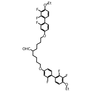 CCOc1ccc(-c2ccc(OCCCCC(C=O)CCCCOc3ccc(-c4ccc(OCC)c(F)c4F)c(F)c3)cc2F)c(F)c1F